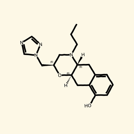 CCCN1C[C@H](Cn2cncn2)O[C@@H]2Cc3c(O)cccc3C[C@H]21